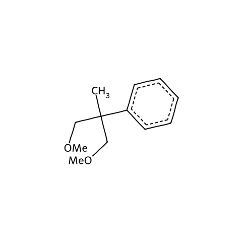 COCC(C)(COC)c1ccccc1